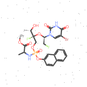 CC(C)OC(=O)C(C)NP(=O)(OC[C@@](F)(O[C@H](CF)n1cc(Br)c(=O)[nH]c1=O)[C@H](C)O)Oc1ccc2ccccc2c1